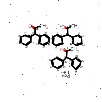 CC(=O)C(c1ccccc1)c1ccccc1.CC(=O)C(c1ccccc1)c1ccccc1.CC(=O)C(c1ccccc1)c1ccccc1.[Pd].[Pd]